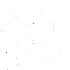 C[n+]1ccc(C(=O)[O-])cc1